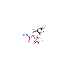 C[C@H](OC(N)=O)[C@@H](O)c1sc(Cl)nc1Cl